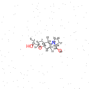 CCC(O)C1(C)CCc2c(cc(C)c(N3CCC[C@H]3C=O)c2C)O1